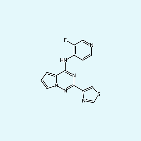 Fc1cnccc1Nc1nc(-c2cscn2)nn2cccc12